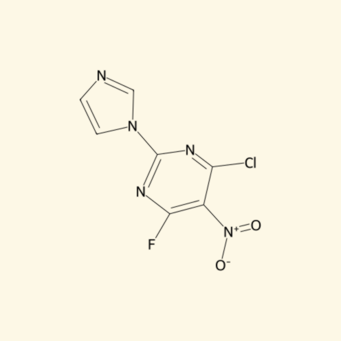 O=[N+]([O-])c1c(F)nc(-n2ccnc2)nc1Cl